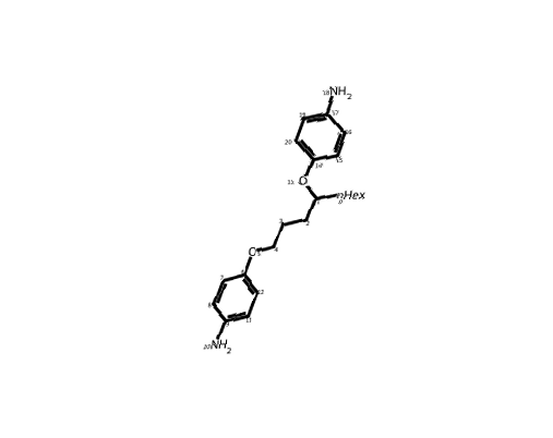 CCCCCCC(CCCOc1ccc(N)cc1)Oc1ccc(N)cc1